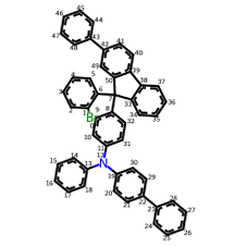 Brc1ccccc1C1(c2ccc(N(c3ccccc3)c3ccc(-c4ccccc4)cc3)cc2)c2ccccc2-c2ccc(-c3ccccc3)cc21